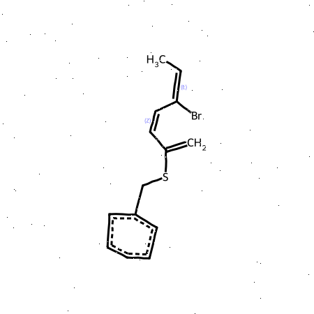 C=C(/C=C\C(Br)=C/C)SCc1ccccc1